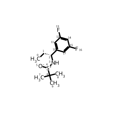 CC[C@@H](N[S+]([O-])C(C)(C)C)c1cc(F)cc(F)c1